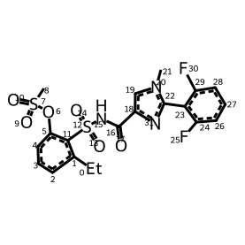 CCc1cccc(OS(C)(=O)=O)c1S(=O)(=O)NC(=O)c1cn(C)c(-c2c(F)cccc2F)n1